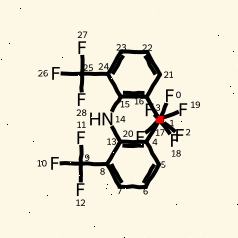 FC(F)(F)c1cccc(C(F)(F)F)c1Nc1c(C(F)(F)F)cccc1C(F)(F)F